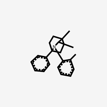 Cc1ccccc1N1C(C)C2(C)CCC1(c1ccccc1)CC2